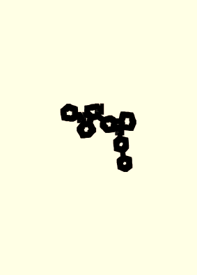 c1ccc(-c2ccc(-n3c4ccccc4c4cc(-c5nccc6c5c5ccccc5n6-c5ccccc5)ccc43)cc2)cc1